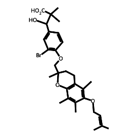 CC(C)=CCOc1c(C)c(C)c2c(c1C)CCC(C)(COc1ccc(C(O)C(C)(C)C(=O)O)cc1Br)O2